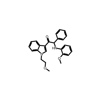 COCCn1cc(C(=O)C(Nc2ccccc2OC)c2ccccc2)c2ccccc21